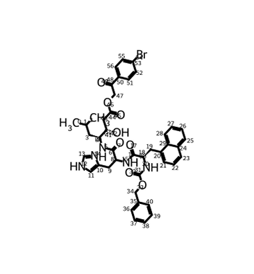 CC(C)C[C@H](NC(=O)C(Cc1c[nH]cn1)NC(=O)[C@@H](Cc1cccc2ccccc12)NC(=O)OCc1ccccc1)[C@@H](O)CC(=O)OCC(=O)c1ccc(Br)cc1